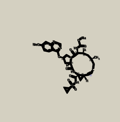 CC[C@@H]1C[C@H](C)CC/C=C\[C@@H]2C[C@@]2(C(=O)NS(=O)(=O)C2CC2)NC(=O)[C@@H]2C[C@@H](Oc3ncnc4cc(OC)ccc34)CN2C(=O)[C@H]1NC(=O)OC(C)(C)C